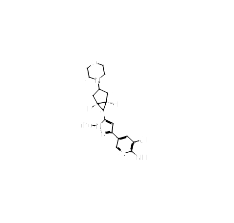 CCC(C)n1nc(-c2cnc(N)c(C(F)(F)F)c2)cc1[C@H]1[C@@H]2CC(N3CCOCC3)C[C@@H]21